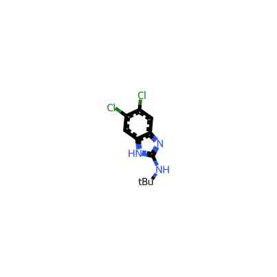 CC(C)(C)Nc1nc2cc(Cl)c(Cl)cc2[nH]1